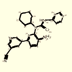 N#Cc1cncc(-c2ccc(N)c(N(C(=O)Nc3ccncn3)C3CCCCC3)n2)c1